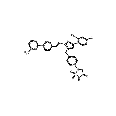 Cc1cccc(-c2ccc(/C=C/c3nc(-c4ccc(Cl)cc4Cl)cn3Cc3ccc(N4CC(=O)NS4(=O)=O)cc3)cc2)c1